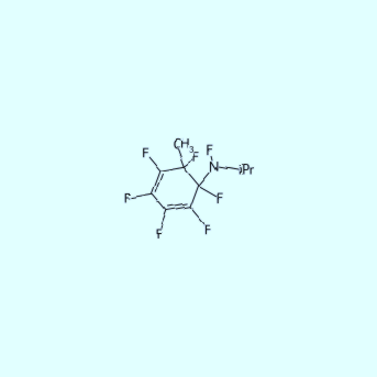 CC(C)N(F)C1(F)C(F)=C(F)C(F)=C(F)C1(C)F